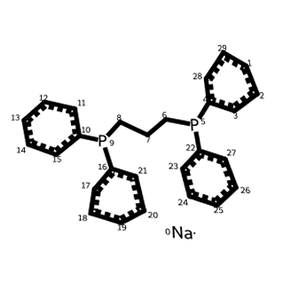 [Na].c1ccc(P(CCCP(c2ccccc2)c2ccccc2)c2ccccc2)cc1